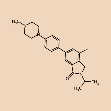 CC(C)N1Cc2c(F)cc(-c3ccc(N4CCN(C)CC4)cc3)cc2C1=O